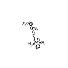 CCCc1c(OCCCN(C)C(=O)N(C)c2ccncc2)ccc2c(C(F)(F)F)noc12